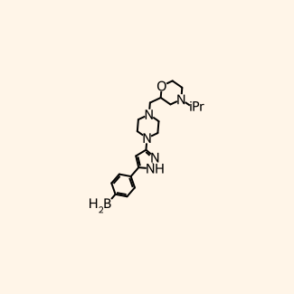 Bc1ccc(-c2cc(N3CCN(CC4CN(C(C)C)CCO4)CC3)n[nH]2)cc1